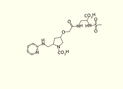 CS(=O)(=O)NC(CNC(=O)COC1CC(CNc2ccccn2)N(C(=O)O)C1)C(=O)O